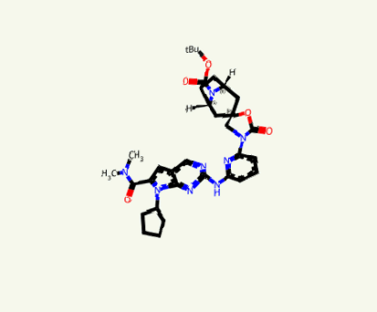 CN(C)C(=O)c1cc2cnc(Nc3cccc(N4C[C@@]5(C[C@H]6CC[C@@H](C5)N6C(=O)OC(C)(C)C)OC4=O)n3)nc2n1C1CCCC1